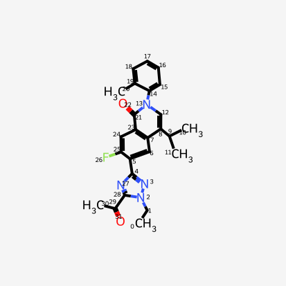 CCn1nc(-c2cc3c(C(C)C)cn(-c4ccccc4C)c(=O)c3cc2F)nc1C(C)=O